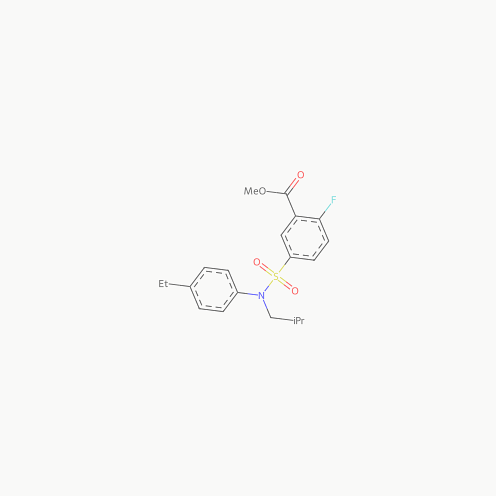 CCc1ccc(N(CC(C)C)S(=O)(=O)c2ccc(F)c(C(=O)OC)c2)cc1